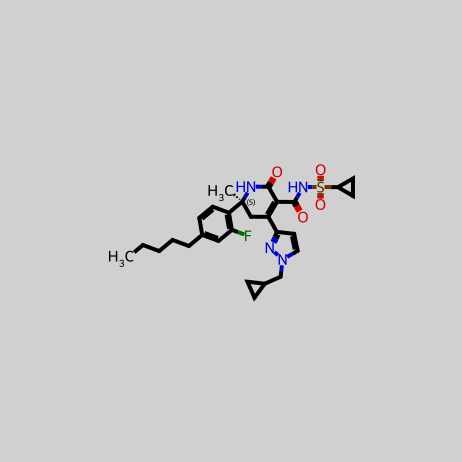 CCCCCc1ccc([C@]2(C)CC(c3ccn(CC4CC4)n3)=C(C(=O)NS(=O)(=O)C3CC3)C(=O)N2)c(F)c1